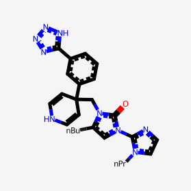 CCCCc1cn(-c2nccn2CCC)c(=O)n1CC1(c2cccc(-c3nnn[nH]3)c2)C=CNC=C1